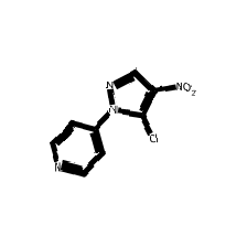 O=[N+]([O-])c1cnn(-c2ccncc2)c1Cl